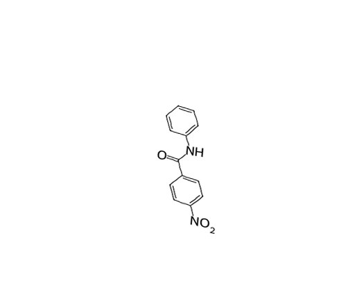 O=C(Nc1ccccc1)c1ccc([N+](=O)[O-])cc1